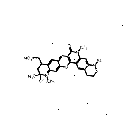 CCN1CCCc2cc3c4c(c(=O)n(C)c3cc21)C=c1cc2c(cc1O4)=[N+](C)C(C)(C)CC2CS(=O)(=O)O